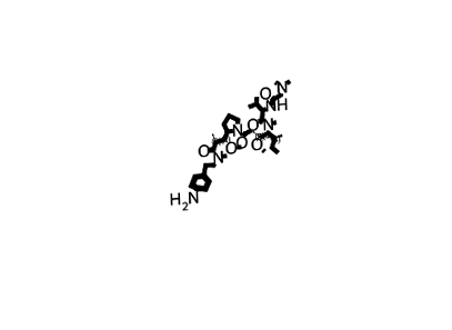 CC[C@H](C)[C@@H]([C@@H](CC(=O)N1CCCC1[C@H](OC)[C@@H](C)C(=O)N(C)CCc1ccc(N)cc1)OC)N(C)C(=O)C(NC(=O)CN(C)C)C(C)C